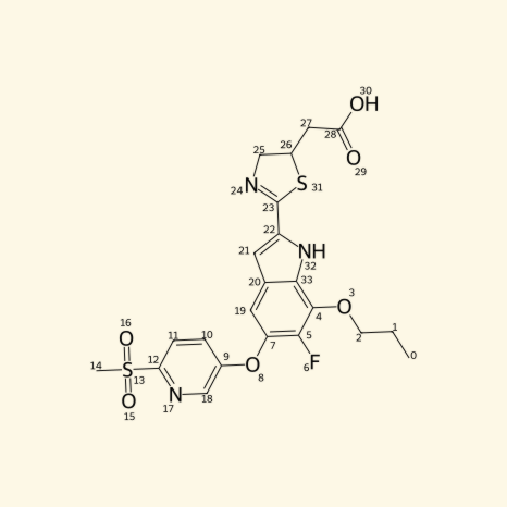 CCCOc1c(F)c(Oc2ccc(S(C)(=O)=O)nc2)cc2cc(C3=NCC(CC(=O)O)S3)[nH]c12